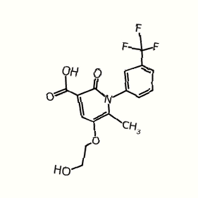 Cc1c(OCCO)cc(C(=O)O)c(=O)n1-c1cccc(C(F)(F)F)c1